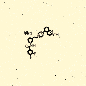 Cc1ccc2c(N3CCN(CCc4cccc(NC(=O)c5ccc(F)c(F)c5)c4)CC3)cccc2n1.Cl.Cl